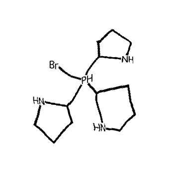 Br[PH](C1CCCN1)(C1CCCN1)C1CCCN1